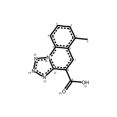 Cc1cccc2c1cc(C(=O)O)c1nnnn12